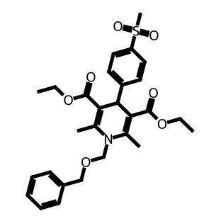 CCOC(=O)C1=C(C)N(COCc2ccccc2)C(C)=C(C(=O)OCC)C1c1ccc(S(C)(=O)=O)cc1